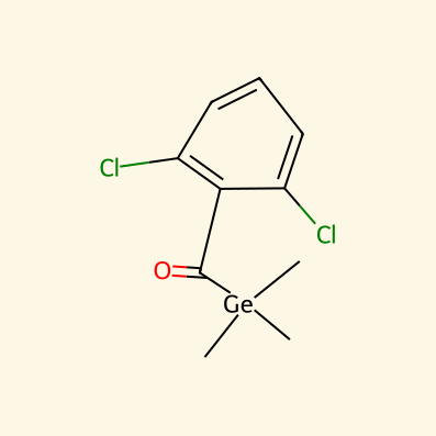 [CH3][Ge]([CH3])([CH3])[C](=O)c1c(Cl)cccc1Cl